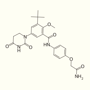 COc1c(C(=O)Nc2ccc(OCC(N)=O)cc2)cc(N2CCC(=O)NC2=O)cc1C(C)(C)C